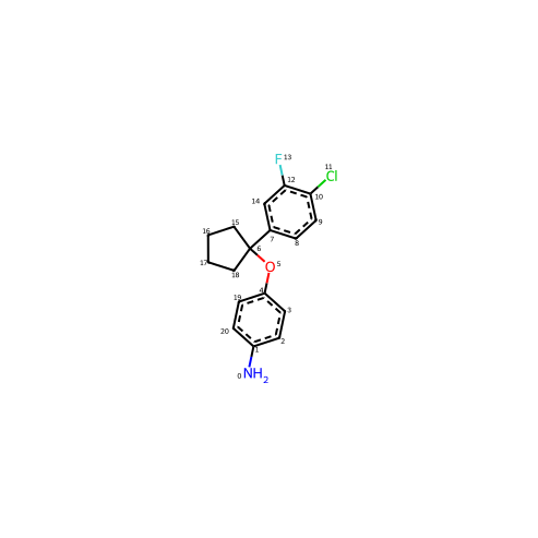 Nc1ccc(OC2(c3ccc(Cl)c(F)c3)CCCC2)cc1